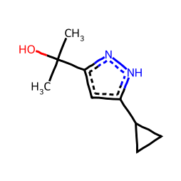 CC(C)(O)c1cc(C2CC2)[nH]n1